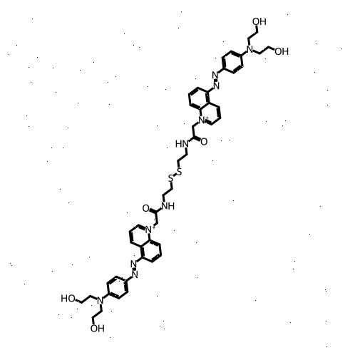 O=C(C[n+]1cccc2c(/N=N/c3ccc(N(CCO)CCO)cc3)cccc21)NCCSSCCNC(=O)C[n+]1cccc2c(/N=N/c3ccc(N(CCO)CCO)cc3)cccc21